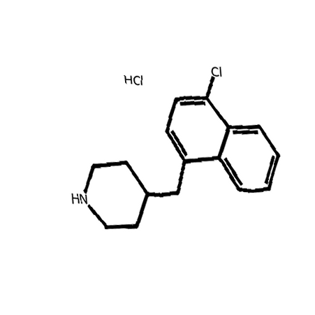 Cl.Clc1ccc(CC2CCNCC2)c2ccccc12